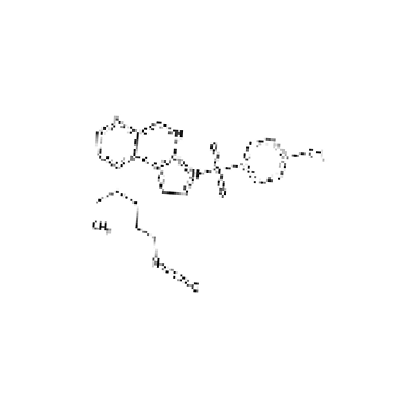 CCC(CCCN=C=O)c1ccnc2cnc3c(ccn3S(=O)(=O)c3ccc(C)cc3)c12